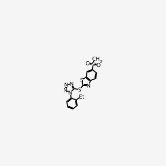 CCc1ccccc1-n1nnnc1Sc1nc2ccc(S(C)(=O)=O)cc2s1